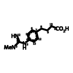 CNC(=N)Nc1ccc(CCCC(=O)O)cc1